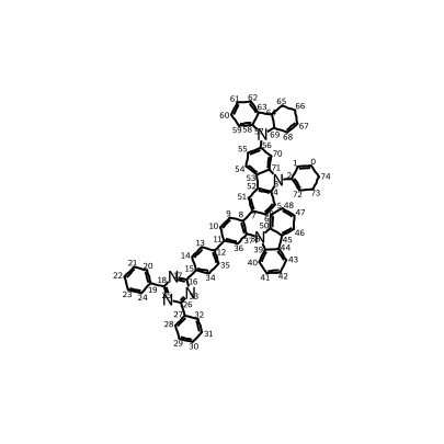 C1=CC(n2c3ccc(-c4ccc(-c5ccc(-c6nc(-c7ccccc7)nc(-c7ccccc7)n6)cc5)cc4-n4c5ccccc5c5ccccc54)cc3c3ccc(N4c5ccccc5C5CCC=CC54)cc32)=CCC1